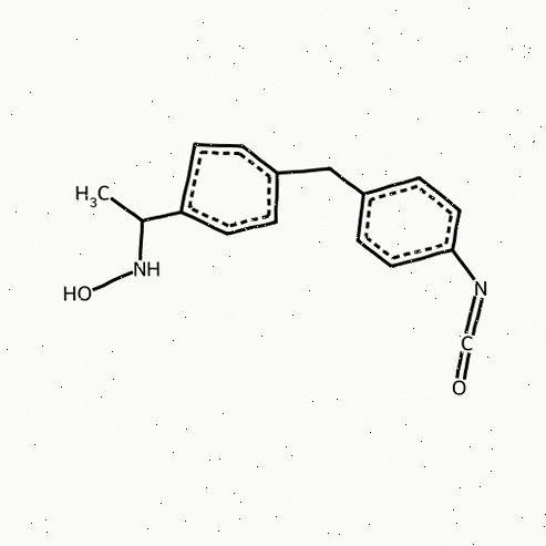 CC(NO)c1ccc(Cc2ccc(N=C=O)cc2)cc1